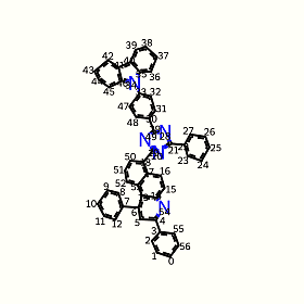 c1ccc(-c2cc(-c3ccccc3)c3c(ccc4c(-c5nc(-c6ccccc6)nc(-c6ccc(-n7c8ccccc8c8ccccc87)cc6)n5)cccc43)n2)cc1